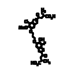 COc1c(OCCCOc2cc3cc(C(=O)CC(C)C(=O)O)sc3c(F)c2O)cc2c(c1Cl)CN(C(=O)CC(C)C(=O)O)C2